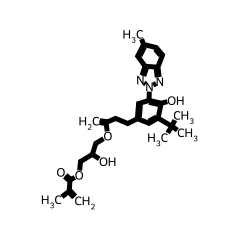 C=C(CCc1cc(-n2nc3ccc(C)cc3n2)c(O)c(C(C)(C)C)c1)OCC(O)COC(=O)C(=C)C